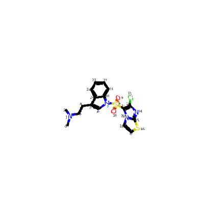 CN(C)CCc1cn(S(=O)(=O)c2c(Cl)nc3sccn23)c2ccccc12